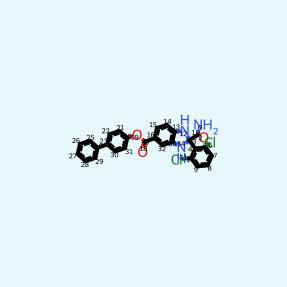 NC(=O)C1(c2c(Cl)cccc2Cl)Nc2ccc(C(=O)Oc3ccc(-c4ccccc4)cc3)cc2N1